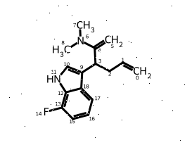 C=CCC(C(=C)N(C)C)c1c[nH]c2c(F)cccc12